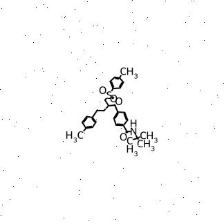 Cc1ccc(CCC(CS(=O)(=O)c2ccc(C)cc2)C(=O)c2ccc(C(=O)NC(C)(C)C)cc2)cc1